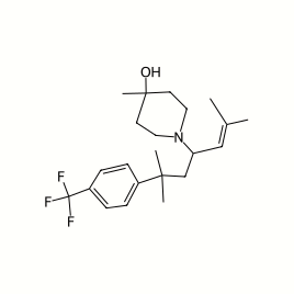 CC(C)=CC(CC(C)(C)c1ccc(C(F)(F)F)cc1)N1CCC(C)(O)CC1